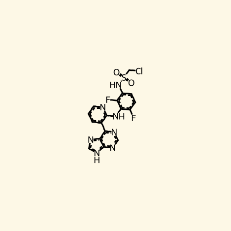 O=S(=O)(CCl)Nc1ccc(F)c(Nc2ncccc2-c2ncnc3[nH]cnc23)c1F